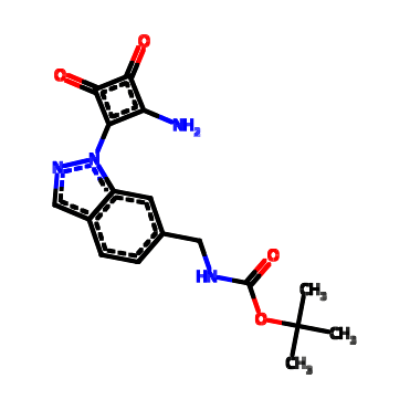 CC(C)(C)OC(=O)NCc1ccc2cnn(-c3c(N)c(=O)c3=O)c2c1